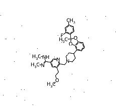 C/N=C(\NC)c1cnc(CN2CCC(c3cccc4c3OC(C)(c3ccc(C)cc3F)O4)CC2)c(CCOC)c1